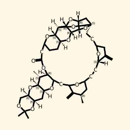 C=C1C2CC3O[C@H]4C[C@H]5OC(C)(C)OC[C@H]5O[C@H]4[C@H](C)[C@H]3OC(=O)CC3CC[C@@H]4O[C@@H]5[C@H]6O[C@@H]7C[C@](CCC8CC(=C)[C@H](CCC(C[C@H]1C)O2)O8)(O[C@H]6[C@H]4O3)O[C@H]57